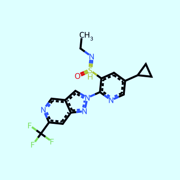 CC/N=[SH](=O)/c1cc(C2CC2)cnc1-n1cc2cnc(C(F)(F)F)cc2n1